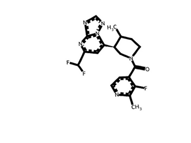 Cc1nccc(C(=O)N2CCC(C)[C@H](c3cc(C(F)F)nc4ncnn34)C2)c1F